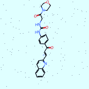 O=C(NCC(=O)N1CCOCC1)Nc1ccc(C(=O)/C=C/c2ccc3ccccc3n2)cc1